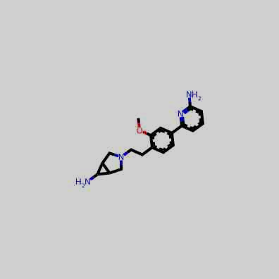 COc1cc(-c2cccc(N)n2)ccc1CCN1CC2C(N)C2C1